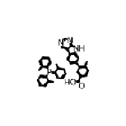 Cc1ccc(C(=O)O)cc1-c1ccc2c(c1)[nH]c1ncncc12.Cc1ccccc1P(c1ccccc1C)c1ccccc1C